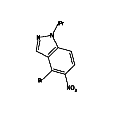 CC(C)n1ncc2c(Br)c([N+](=O)[O-])ccc21